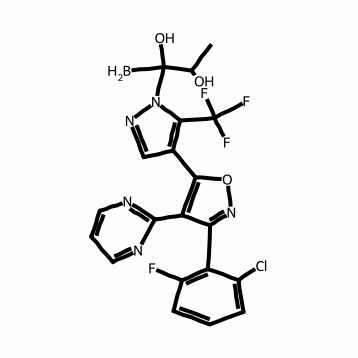 BC(O)(C(C)O)n1ncc(-c2onc(-c3c(F)cccc3Cl)c2-c2ncccn2)c1C(F)(F)F